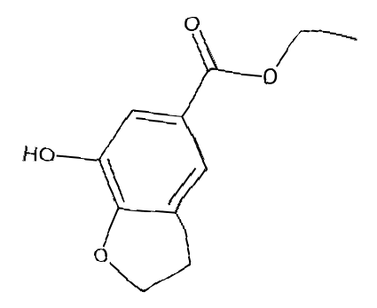 CCOC(=O)c1cc(O)c2c(c1)CCO2